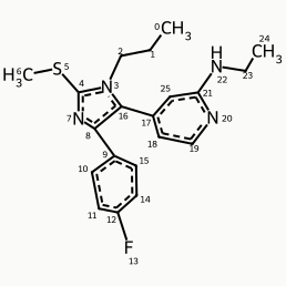 CCCn1c(SC)nc(-c2ccc(F)cc2)c1-c1ccnc(NCC)c1